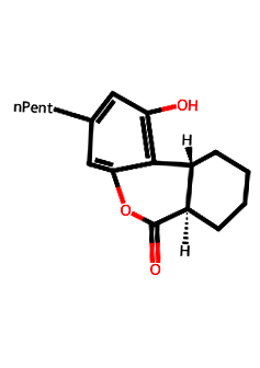 CCCCCc1cc(O)c2c(c1)OC(=O)[C@@H]1CCCC[C@@H]21